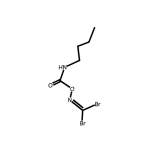 CCCCNC(=O)ON=C(Br)Br